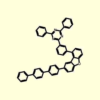 c1ccc(-c2ccc(-c3ccc(-c4ccc5oc6cccc(-c7cccc(-c8nc(-c9ccccc9)nc(-c9ccccc9)n8)c7)c6c5c4)cc3)cc2)cc1